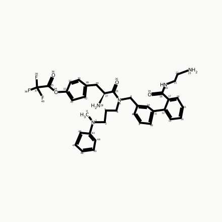 CN(CCCN(Cc1cccc(-c2ccccc2C(=O)NCCN)c1)C(=O)[C@@H](N)Cc1ccc(OC(=O)C(F)(F)F)cc1)c1ccccc1